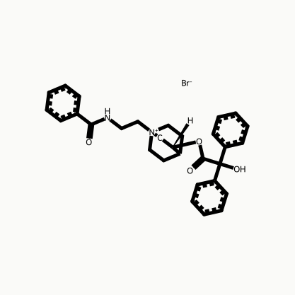 O=C(NCC[N+]12CCC(CC1)[C@@H](OC(=O)C(O)(c1ccccc1)c1ccccc1)C2)c1ccccc1.[Br-]